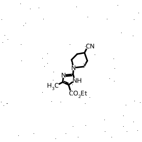 CCOC(=O)c1[nH]c(N2CCC(C#N)CC2)nc1C